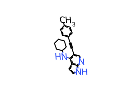 Cc1ccc(C#Cc2cnc3[nH]ccc3c2NC2CCCCC2)cc1